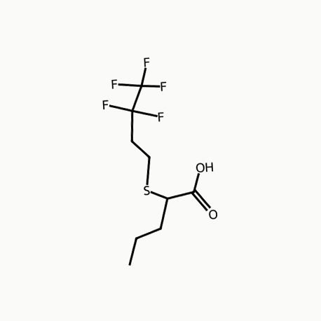 CCCC(SCCC(F)(F)C(F)(F)F)C(=O)O